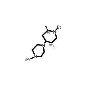 CCN1C[C@H](C)C(N2CCN(C(C)C)CC2)C[C@H]1C